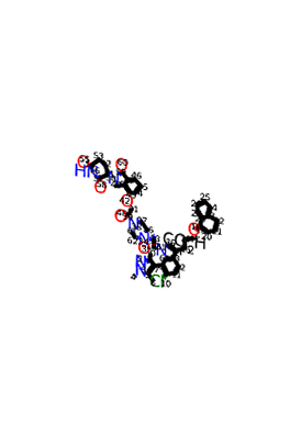 Cc1nn(C)c(C)c1-c1c(Cl)ccc2c(CCCOc3cccc4ccccc34)c(C(=O)O)n(CC[N+]3([O-])CCN(C(=O)COc4cccc5c4CN(C4CCC(=O)NC4=O)C5=O)CC3)c12